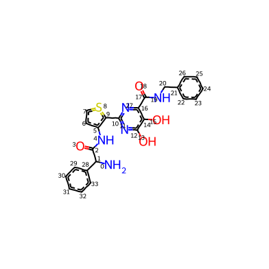 NC(C(=O)Nc1ccsc1-c1nc(O)c(O)c(C(=O)NCc2ccccc2)n1)c1ccccc1